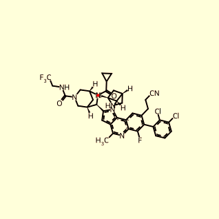 Cc1nc2c(F)c(-c3cccc(Cl)c3Cl)c(CCC#N)cc2c2c1cc([C@H]1[C@H]3C[C@H](CN(C(=O)NCC(F)(F)F)C3)N1C(=O)C1CC1)n2[C@H]1[C@H]2CN[C@@H]1C2